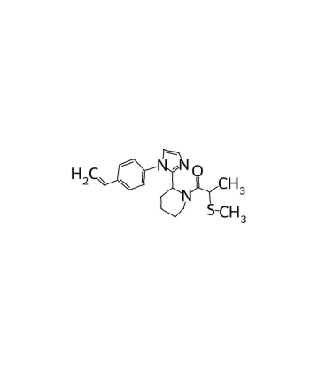 C=Cc1ccc(-n2ccnc2C2CCCCN2C(=O)C(C)SC)cc1